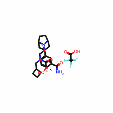 C[C@H](O)C(=O)N(CCN1C2CCC1CC(c1cccc(C(N)=O)c1)C2)CC1CCC1.O=C(O)C(F)(F)F